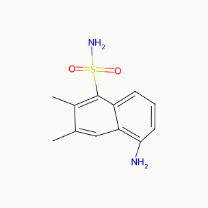 Cc1cc2c(N)cccc2c(S(N)(=O)=O)c1C